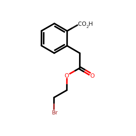 O=C(Cc1ccccc1C(=O)O)OCCBr